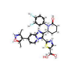 Cc1noc(C)c1-c1ccn2c(-c3ncc(C(=O)O)s3)c([C@@H]3CCCC(=O)N3c3ccc(F)c(F)c3)nc2c1